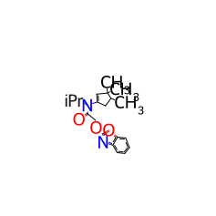 CC(C)N(C(=O)COc1nc2ccccc2o1)C1=CC(C)(C)C(C)C1